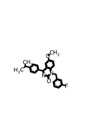 COc1ccc2c(c1)c(-c1ccc(C(C)C)cc1)nc(=O)n2Cc1cccc(F)c1